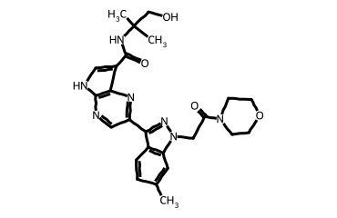 Cc1ccc2c(-c3cnc4[nH]cc(C(=O)NC(C)(C)CO)c4n3)nn(CC(=O)N3CCOCC3)c2c1